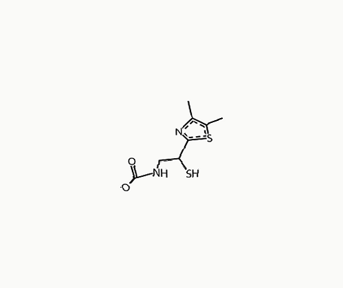 Cc1nc(C(S)CNC([O])=O)sc1C